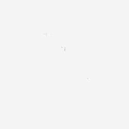 CN1CCC([O])CC1C(F)(F)F